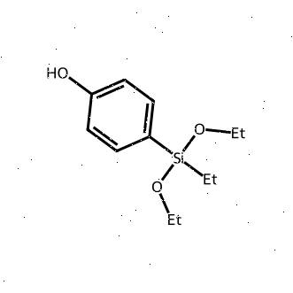 CCO[Si](CC)(OCC)c1ccc(O)cc1